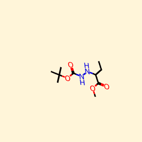 CCC(NNC(=O)OC(C)(C)C)C(=O)OC